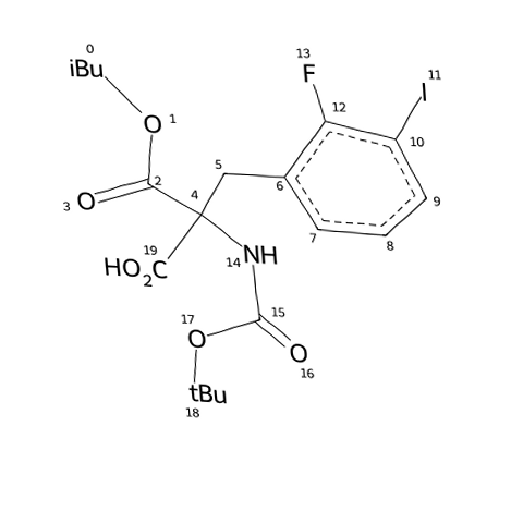 CCC(C)OC(=O)C(Cc1cccc(I)c1F)(NC(=O)OC(C)(C)C)C(=O)O